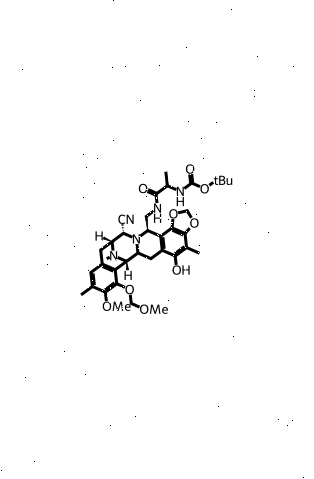 COCOc1c(OC)c(C)cc2c1[C@H]1C3Cc4c(O)c(C)c5c(c4[C@H](CNC(=O)C(C)NC(=O)OC(C)(C)C)N3[C@@H](C#N)[C@@H](C2)N1C)OCO5